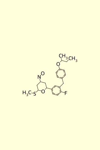 CCC(C)Oc1ccc(Cc2cc(C3CC(N=O)CC(SC)O3)ccc2F)cc1